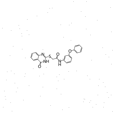 O=C(CSc1nc2ccccc2c(=O)[nH]1)Nc1cccc(Oc2ccccc2)c1